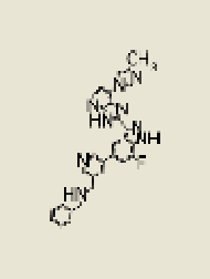 Cc1cn(-c2ccnc3[nH]c(-c4n[nH]c5c(F)cc(-c6cncc(CNCc7ccccc7)c6)cc45)nc23)cn1